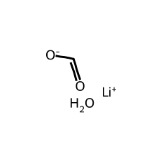 O.O=C[O-].[Li+]